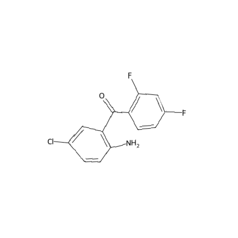 Nc1ccc(Cl)cc1C(=O)c1ccc(F)cc1F